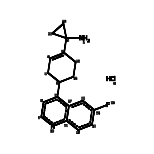 Cl.NC1(C2=CCC(c3ccnc4ccc(F)cc34)CC2)CC1